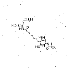 CC(C)(C)C(=O)Nc1nc(O)c2c(n1)NCC(CCCCCC(=O)N[C@@H](CCC(=O)O)C(=O)O)C2